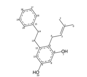 CC(C)=CCc1c(O)cc(O)cc1CCc1ccccc1